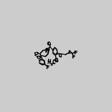 COc1cc(C(=O)N2CCC3(c4cccc(F)c4)OCOC3C2)ccc1OCCC1CC1(F)F